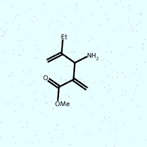 C=C(CC)C(N)C(=C)C(=O)OC